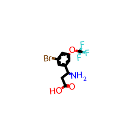 NC(CC(=O)O)c1cc(Br)cc(OC(F)(F)F)c1